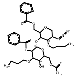 CCCCOC1C(OC(=O)c2ccccc2)[C@H](OC2C(COC(=O)c3ccccc3)OCC(N=[N+]=[N-])[C@H]2OCCCC)OC(COC(C)=O)[C@H]1O